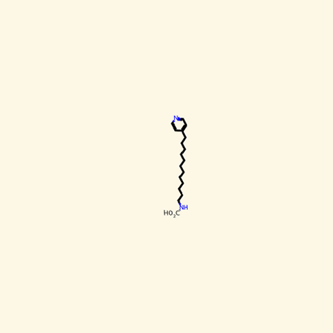 O=C(O)NCCCCCCCCCCCCc1ccncc1